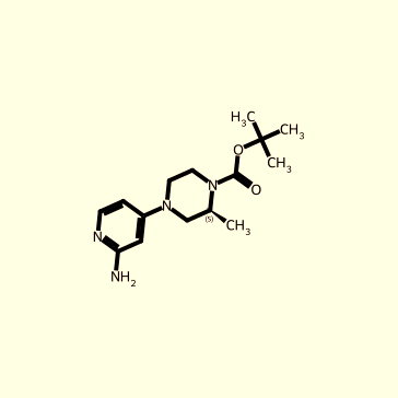 C[C@H]1CN(c2ccnc(N)c2)CCN1C(=O)OC(C)(C)C